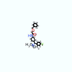 CN(C)C(c1ccc(F)cc1)C1CCC(NC(=O)COCc2ccccc2)CC1